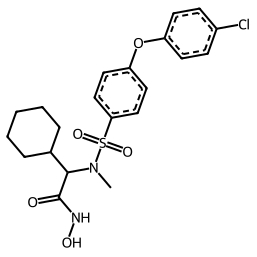 CN(C(C(=O)NO)C1CCCCC1)S(=O)(=O)c1ccc(Oc2ccc(Cl)cc2)cc1